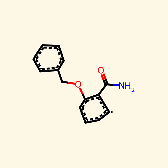 NC(=O)c1[c]cccc1OCc1ccccc1